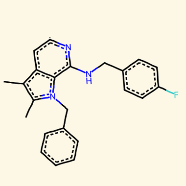 Cc1c(C)n(Cc2ccccc2)c2c(NCc3ccc(F)cc3)n[c]cc12